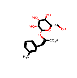 Cc1cccc(/C=C(\O[C@H]2O[C@@H](CO)[C@H](O)[C@@H](O)[C@@H]2O)C(=O)O)c1